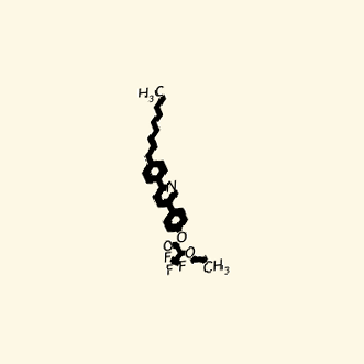 CCCCCCCCCc1ccc(-c2ccc(-c3ccc(OC(=O)C(OCCC)C(F)(F)F)cc3)cn2)cc1